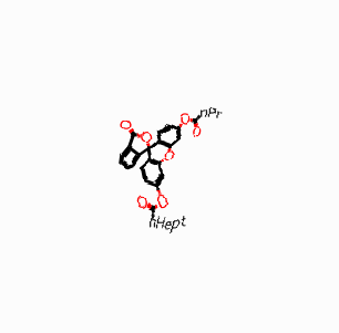 CCCCCCCC(=O)Oc1ccc2c(c1)Oc1cc(OC(=O)CCC)ccc1C21OC(=O)c2ccccc21